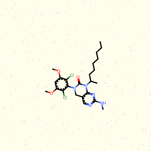 CCCCCCCC(C)N1C(=O)N(c2c(Cl)c(OC)cc(OC)c2Cl)Cc2cnc(NC)nc21